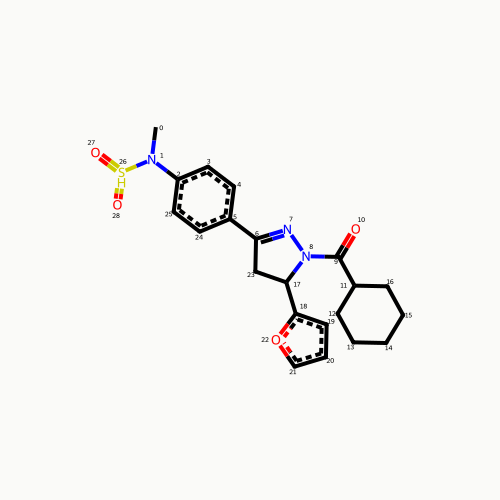 CN(c1ccc(C2=NN(C(=O)C3CCCCC3)C(c3ccco3)C2)cc1)[SH](=O)=O